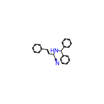 N#CC(/C=C/c1ccccc1)NC(c1ccccc1)c1ccccc1